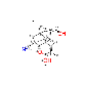 CC(C(=O)O)=C(C)C12CC3(C)CC(C#N)(CC(CO)(C3)C1)C2